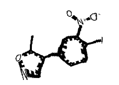 Cc1oncc1-c1ccc(I)c([N+](=O)[O-])c1